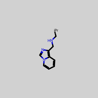 CC(C)CNCc1ncn2ccccc12